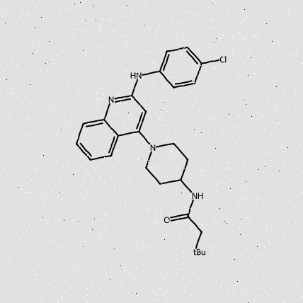 CC(C)(C)CC(=O)NC1CCN(c2cc(Nc3ccc(Cl)cc3)nc3ccccc23)CC1